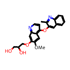 COc1cc2c(Oc3cc4ccccc4nc3C)ccnc2cc1OCC(O)CO